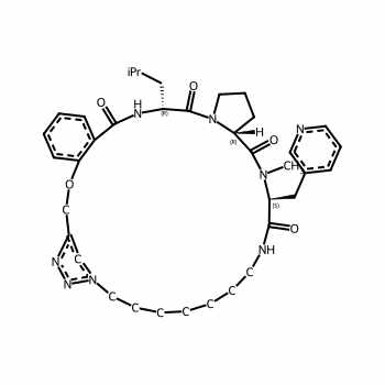 CC(C)C[C@H]1NC(=O)c2ccccc2OCc2cn(nn2)CCCCCCCNC(=O)[C@H](Cc2cccnc2)N(C)C(=O)[C@H]2CCCN2C1=O